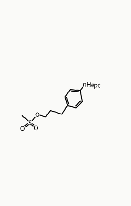 CCCCCCCc1ccc(CCCOS(C)(=O)=O)cc1